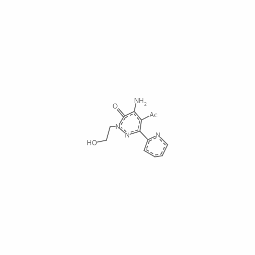 CC(=O)c1c(-c2ccccn2)nn(CCO)c(=O)c1N